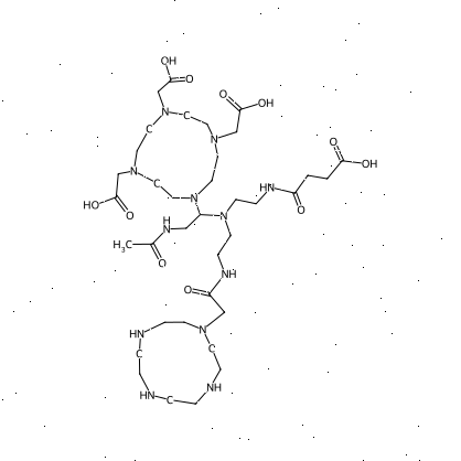 CC(=O)NCC(N(CCNC(=O)CCC(=O)O)CCNC(=O)CN1CCNCCNCCNCC1)N1CCN(CC(=O)O)CCN(CC(=O)O)CCN(CC(=O)O)CC1